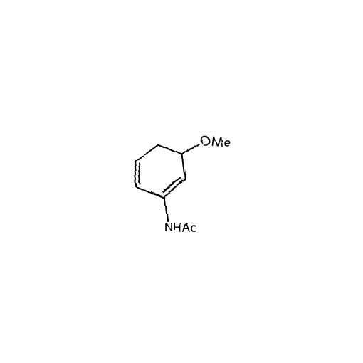 COC1C=C(NC(C)=O)C=CC1